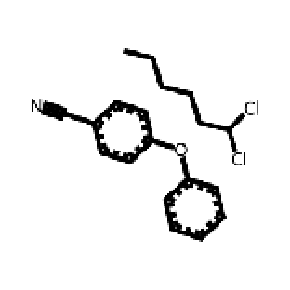 CCCCCC(Cl)Cl.N#Cc1ccc(Oc2ccccc2)cc1